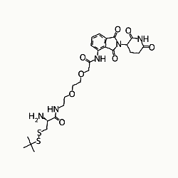 CC(C)(C)SSC[C@@H](N)C(=O)NCCOCCOCC(=O)Nc1cccc2c1C(=O)N(C1CCC(=O)NC1=O)C2=O